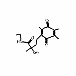 CCNC(=O)C(C)(O)CCC1=C(C)C(=O)C(C)=C(C)C1=O